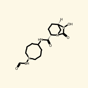 O=CBN1CCCC(NC(=O)[C@@H]2CC[C@@H]3CN2C(=O)N3O)CCC1